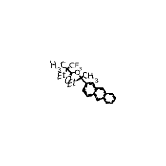 CCC(C)(OC(=O)C(C)(CC)C(F)(F)F)c1ccc2cc3ccccc3cc2c1